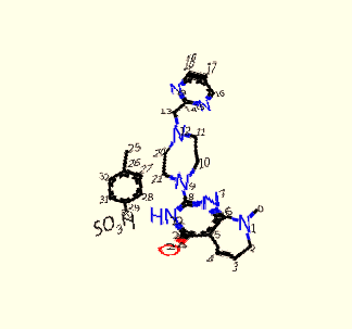 CN1CCCc2c1nc(N1CCN(Cc3ncccn3)CC1)[nH]c2=O.Cc1ccc(S(=O)(=O)O)cc1